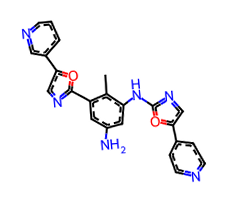 Cc1c(Nc2ncc(-c3ccncc3)o2)cc(N)cc1-c1ncc(-c2cccnc2)o1